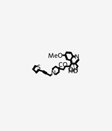 COc1ccc2ncc(CO)c(C(O)CCC3(C(=O)O)CCN(CC#Cc4cccs4)CC3)c2c1